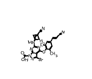 Cc1cc(/C=C/C#N)cc(C)c1Oc1nc(NC23CC(C#N)(C2)C3)nc2c1c(Br)nn2C(=O)O